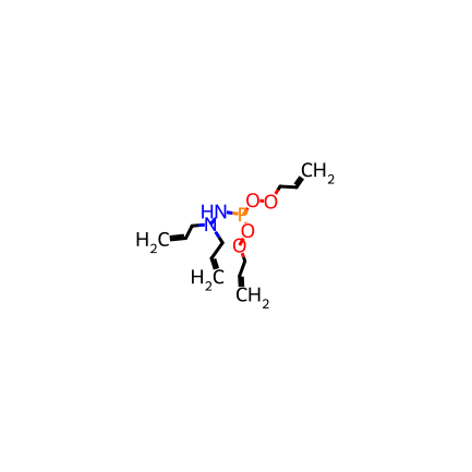 C=CCOOP(NN(CC=C)CC=C)OOCC=C